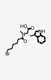 CN(C(=O)CCCCCBr)[C@@H](Cc1c[nH]c2ccccc12)C(=O)O